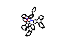 c1ccc(-c2ccc(N(c3ccc4c5ccccc5c5ccccc5c4c3)c3cc4c(cc3-n3c5ccccc5c5ccccc53)-c3ccccc3C43c4ccccc4-c4ccccc43)c(-c3ccccc3)c2)cc1